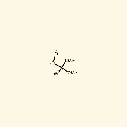 CCCC([N]C)(OC)OCC